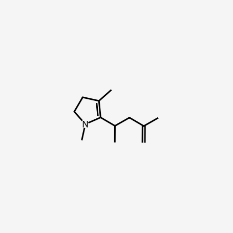 C=C(C)CC(C)C1=C(C)CCN1C